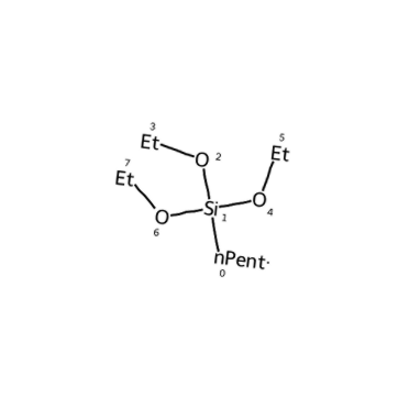 CCCC[CH][Si](OCC)(OCC)OCC